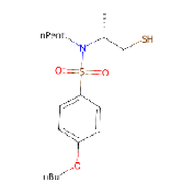 CCCCCN([C@H](C)CS)S(=O)(=O)c1ccc(OCCCC)cc1